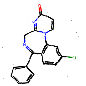 O=c1ccn2c(n1)CN=C(c1ccccc1)c1ccc(Cl)cc1-2